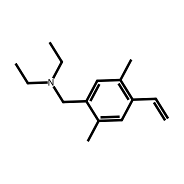 C=Cc1cc(C)c(CN(CC)CC)cc1C